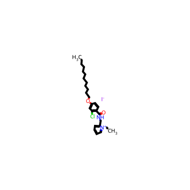 CCCCCCCCCCCCOc1ccc(C(=O)NCc2cccc[n+]2CC)c(Cl)c1.[I-]